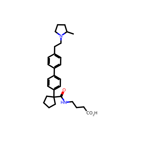 CC1CCCN1CCc1ccc(-c2ccc(C3(C(=O)NCCCC(=O)O)CCCC3)cc2)cc1